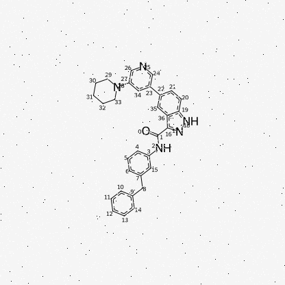 O=C(Nc1cccc(Cc2ccccc2)c1)c1n[nH]c2ccc(-c3cncc(N4CCCCC4)c3)cc12